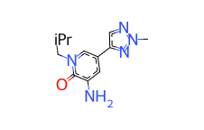 CC(C)Cn1cc(-c2cnn(C)n2)cc(N)c1=O